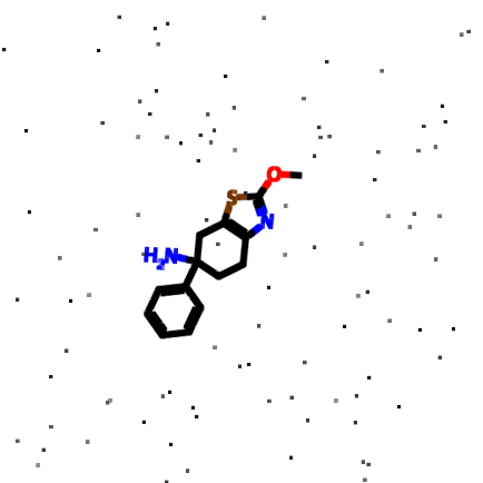 COc1nc2c(s1)CC(N)(c1ccccc1)CC2